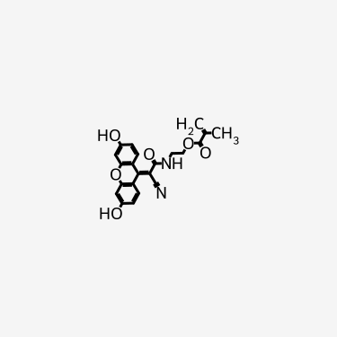 C=C(C)C(=O)OCCNC(=O)C(C#N)=C1c2ccc(O)cc2Oc2cc(O)ccc21